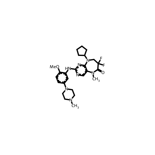 COc1ccc(N2CCN(C)CC2)cc1Nc1ncc2c(n1)N(C1CCCC1)CC(F)(F)C(=O)N2C